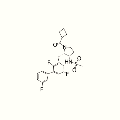 CS(=O)(=O)N[C@H]1CCN(C(=O)C2CCC2)[C@H]1Cc1cc(F)cc(-c2cccc(F)c2)c1F